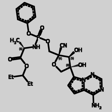 CCC(CC)OC(=O)[C@H](C)NP(=O)(OC[C@@]1(C#N)OC[C@](O)(c2ccc3c(N)ncnn23)[C@@H]1O)Oc1ccccc1